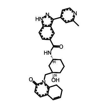 Cc1cc(-c2n[nH]c3ccc(C(=O)N[C@@H]4CCC[C@@](O)(Cn5c6c(ccc5=O)C=CCC6)C4)cc23)ccn1